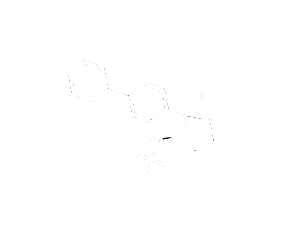 CC(C)S(=O)(=O)N[C@@H]1CCC[C@]1(O)c1ccc(-c2ccccc2)cc1